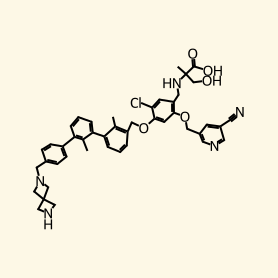 Cc1c(COc2cc(OCc3cncc(C#N)c3)c(CNC(C)(CO)C(=O)O)cc2Cl)cccc1-c1cccc(-c2ccc(CN3CC4(CNC4)C3)cc2)c1C